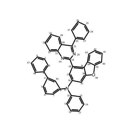 c1ccc(-c2cccc(N(c3ccccc3)c3cc(-c4nc(-c5ccccc5)c5ccccc5n4)c4c(c3)oc3ccccc34)c2)cc1